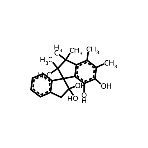 Cc1c(C)c2c(c(O)c1O)C1(c3ccccc3CC1(O)O)C(C)(C)C2(C)C